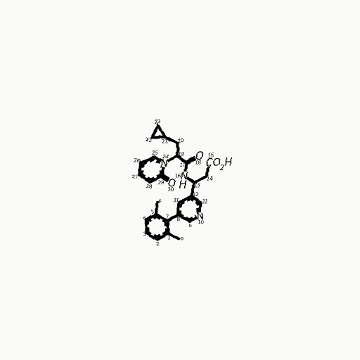 Cc1cccc(C)c1-c1cncc(C(CC(=O)O)NC(=O)C(CC2CC2)n2ccccc2=O)c1